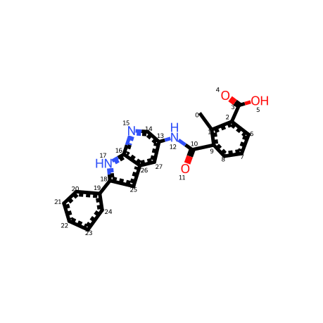 Cc1c(C(=O)O)cccc1C(=O)Nc1cnc2[nH]c(-c3ccccc3)cc2c1